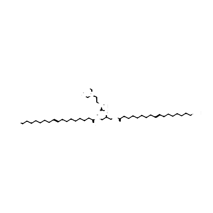 CCCCCCCCC=CCCCCCCCC(=O)OCC(COC(=O)CCCCCCCC=CCCCCCCCC)NC(=O)OCCN(CC)CC